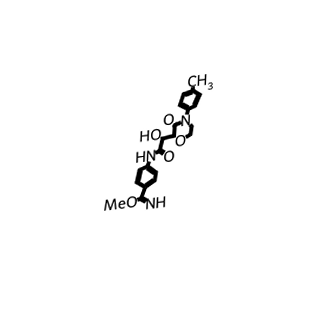 COC(=N)c1ccc(NC(=O)[C@H](O)[C@H]2OCCN(c3ccc(C)cc3)C2=O)cc1